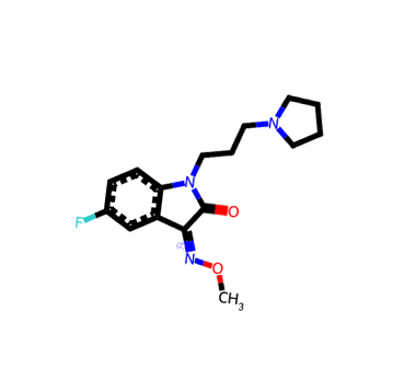 CO/N=C1\C(=O)N(CCCN2CCCC2)c2ccc(F)cc21